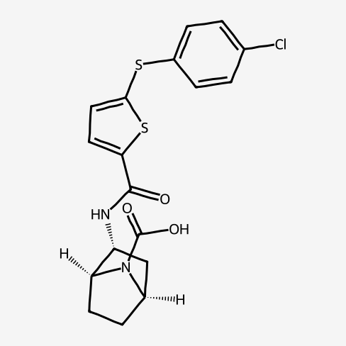 O=C(N[C@@H]1C[C@H]2CC[C@@H]1N2C(=O)O)c1ccc(Sc2ccc(Cl)cc2)s1